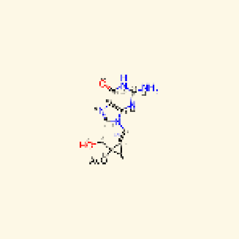 CC(=O)OC1(CO)C/C1=C/n1cnc2c(=O)[nH]c(N)nc21